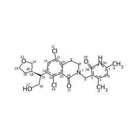 Cc1cc(C)c(CN2CCc3c(Cl)cc(C(CO)[C@H]4CCOC4)c(Cl)c3C2=O)c(=O)[nH]1